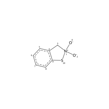 [O-][N+]1([O-])Cc2ccccc2S1